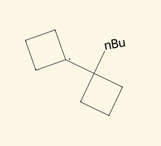 CCCCC1([C]2CCC2)CCC1